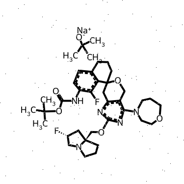 CC(C)(C)OC(=O)Nc1ccc2c(c1F)C1(CCC2)Cc2nc(OC[C@@]34CCCN3C[C@H](F)C4)nc(N3CCCOCC3)c2CO1.CC(C)(C)[O-].[Na+]